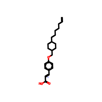 C=CCCCCCC1CCC(COc2ccc(/C=C/C(=O)O)cc2)CC1